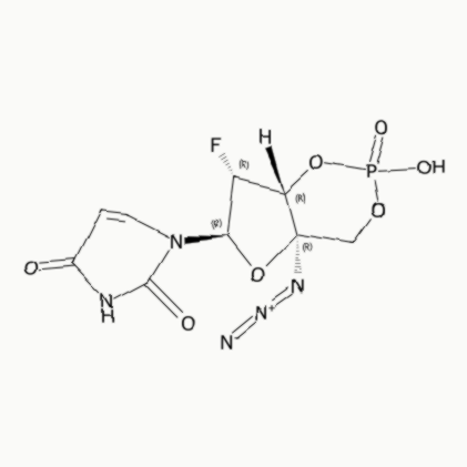 [N-]=[N+]=N[C@@]12COP(=O)(O)O[C@H]1[C@@H](F)[C@H](n1ccc(=O)[nH]c1=O)O2